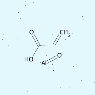 C=CC(=O)O.[O]=[Al]